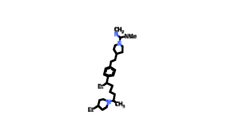 C=NC(NC)N1CCC(CCc2ccc(C(CC)CCCC(C)N3CCC(CC)CC3)cc2)CC1